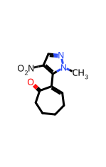 Cn1ncc([N+](=O)[O-])c1C1=CCCCCC1=O